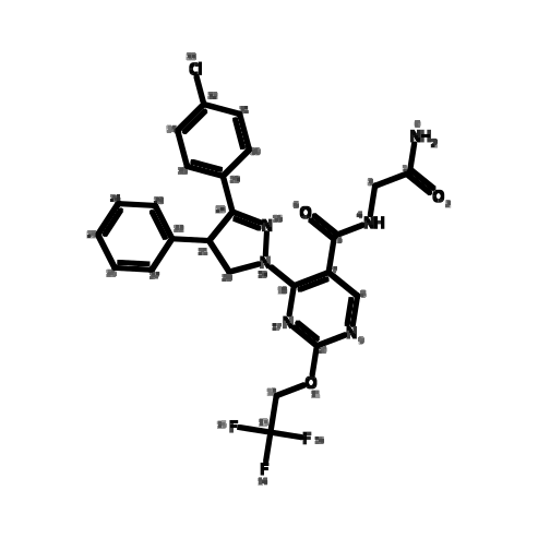 NC(=O)CNC(=O)c1cnc(OCC(F)(F)F)nc1N1CC(c2ccccc2)C(c2ccc(Cl)cc2)=N1